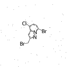 Clc1ccc(Br)n2nc(CBr)cc12